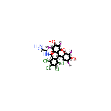 NCCNC(=O)c1c(Cl)c(Cl)c(Cl)c(Cl)c1-c1c2cc(I)c(=O)c(I)c-2oc2c(I)c(O)c(I)cc12